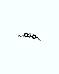 COc1ccc2nc(-c3ccc(CP=O)cc3)sc2c1